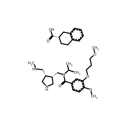 CNC[C@H]1CNC[C@H]1CN(C(=O)c1ccc(OC)c(OCCCOC)c1)C(C)C.O=C(O)[C@H]1CCc2ccccc2C1